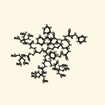 CC(=O)OCC(COC(C)=O)(COC(C)=O)NC(=O)CCN(CCC(=O)NC(COC(C)=O)(COC(C)=O)COC(C)=O)CCN(CCN(CCC(=O)NC(COC(C)=O)(COC(C)=O)COC(C)=O)CCC(=O)NC(COC(C)=O)(COC(C)=O)COC(C)=O)OCCCC1(N(CC(=O)OCc2ccccc2)CC(=O)OCc2ccccc2)CN(CC(=O)OCc2ccccc2)CCN(CC(=O)OCc2ccccc2)C1